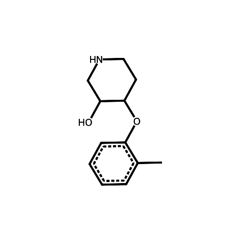 Cc1ccccc1OC1CCNCC1O